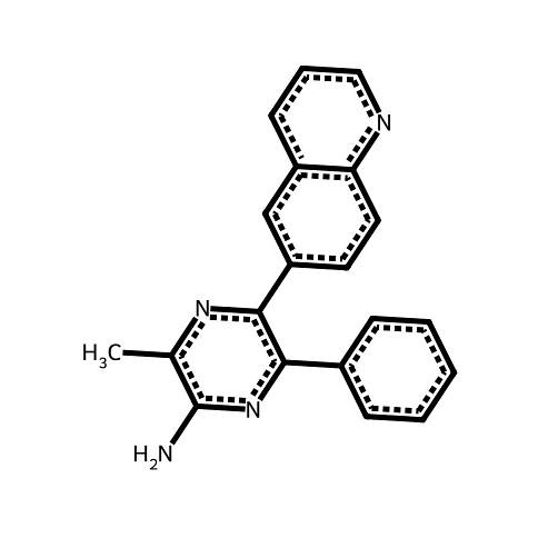 Cc1nc(-c2ccc3ncccc3c2)c(-c2ccccc2)nc1N